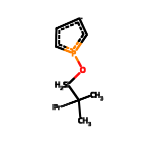 CC(C)C(C)(C)[SiH2]Op1c[c]cc1